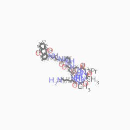 CC(C)C[C@H](NC(=O)[C@H](C)NC(=O)[C@H](C)NC(=O)[C@H](N)CCCCN)C(=O)NCC(=O)N[C@@H](CC(C)C)C(=O)N1CCC[C@H]1C(=O)NCCCNc1cccc2c1C(=O)c1ccccc1C2=O